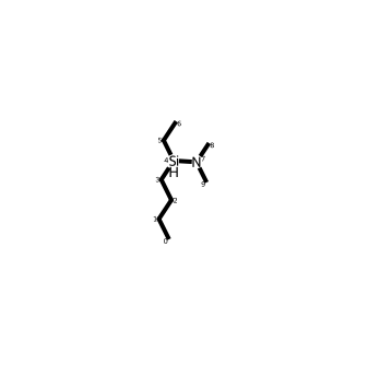 CCCC[SiH](CC)N(C)C